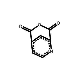 O=C1OC(=O)c2cc1ccn2